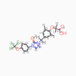 [2H]C([2H])(c1cc(C)c(OC(C)(C)C(=O)O)c(C)c1)n1ncn(-c2ccc(OC(F)(F)F)cc2)c1=O